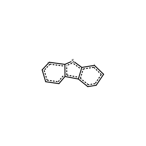 [c]1cccc2c1sc1[c]cccc12